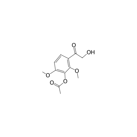 COc1ccc(C(=O)CO)c(OC)c1OC(C)=O